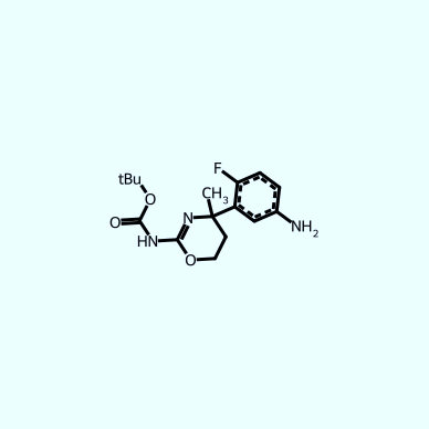 CC(C)(C)OC(=O)NC1=NC(C)(c2cc(N)ccc2F)CCO1